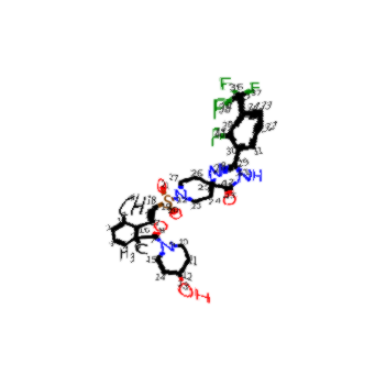 CC1=CC=CC(C)(C(=O)N2CCC(O)CC2)C1C=CS(=O)(=O)N1CCC2(CC1)N=C(c1cccc(C(F)(F)F)c1F)NC2=O